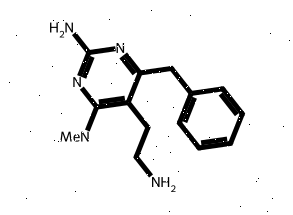 CNc1nc(N)nc(Cc2ccccc2)c1CCN